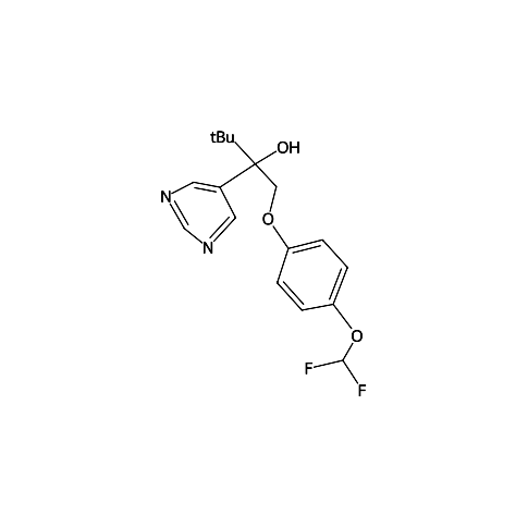 CC(C)(C)C(O)(COc1ccc(OC(F)F)cc1)c1cncnc1